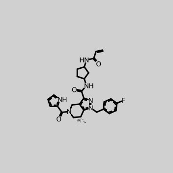 C=CC(=O)NC1CCC(NC(=O)c2nn(Cc3ccc(F)cc3)c3c2CN(C(=O)c2ccc[nH]2)C[C@H]3C)C1